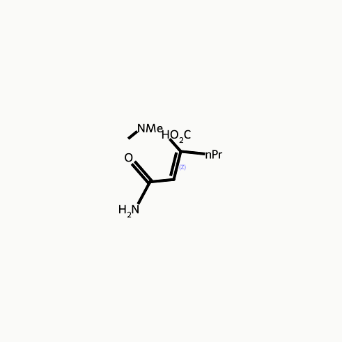 CCC/C(=C/C(N)=O)C(=O)O.CNC